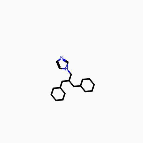 c1cn(CC(CC2CCCCC2)CC2CCCCC2)cn1